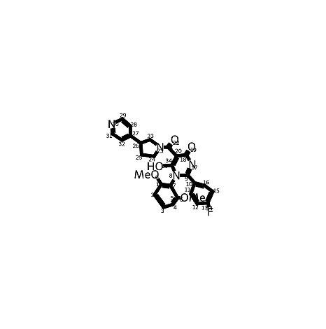 COc1cccc(OC)c1-n1c(-c2ccc(F)cc2)nc(=O)c(C(=O)N2CCC(c3ccncc3)C2)c1O